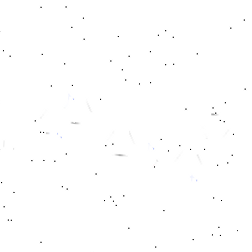 CCc1nc2c(Oc3ccc(NC(=O)c4cnc(C)c(-c5ccc(F)cc5)c4O)cc3F)ccnc2cc1OC